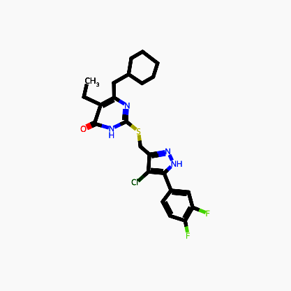 CCc1c(CC2CCCCC2)nc(SCc2n[nH]c(-c3ccc(F)c(F)c3)c2Cl)[nH]c1=O